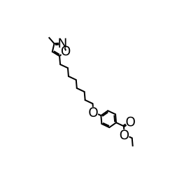 CCOC(=O)c1ccc(OCCCCCCCCc2cc(C)no2)cc1